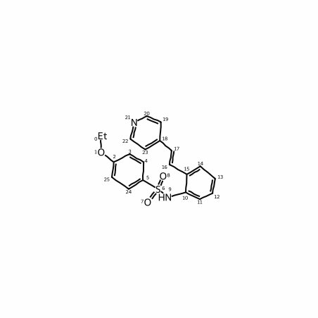 CCOc1ccc(S(=O)(=O)Nc2ccccc2C=Cc2ccncc2)cc1